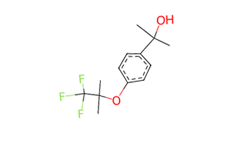 CC(C)(O)c1ccc(OC(C)(C)C(F)(F)F)cc1